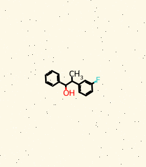 CC(c1cccc(F)c1)C(O)c1ccccc1